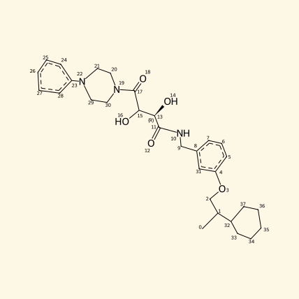 CC(COc1cccc(CNC(=O)[C@H](O)C(O)C(=O)N2CCN(c3ccccc3)CC2)c1)C1CCCCC1